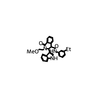 CCc1cccc(NC(=O)C2c3ccccc3C(=O)N(CCOC)C2c2c[nH]c3ccccc23)c1